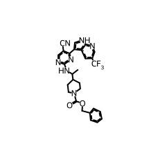 CC(Nc1ncc(C#N)c(-c2c[nH]c3ncc(C(F)(F)F)cc23)n1)C1CCN(C(=O)OCc2ccccc2)CC1